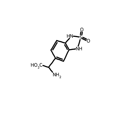 NC(C(=O)O)c1ccc2c(c1)NS(=O)(=O)N2